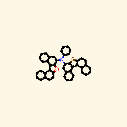 c1ccc(N(c2cc3ccccc3c3c2oc2ccc4ccccc4c23)c2cc3ccccc3c3c2sc2ccc4ccccc4c23)cc1